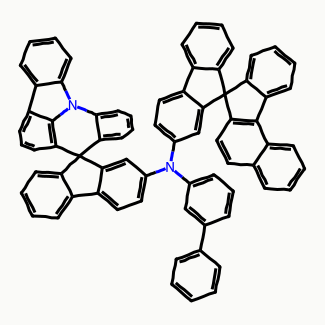 c1ccc(-c2cccc(N(c3ccc4c(c3)C3(c5ccccc5-4)c4ccccc4-c4c3ccc3ccccc43)c3ccc4c(c3)C3(c5ccccc5-4)c4ccccc4-n4c5ccccc5c5cccc3c54)c2)cc1